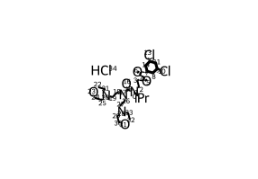 CC(C)N(CCS(=O)(=O)c1cc(Cl)cc(Cl)c1)C(=O)N(CCN1CCOCC1)CCN1CCOCC1.Cl